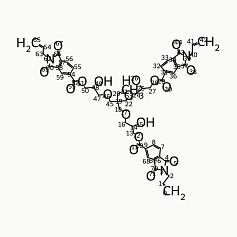 C=CCN1C(=O)c2ccc(C(=O)OCC(O)COCC(CC)(COCC(O)COC(=O)c3ccc4c(c3)C(=O)N(CC=C)C4=O)COCC(O)COC(=O)c3ccc4c(c3)C(=O)N(CC=C)C4=O)cc2C1=O